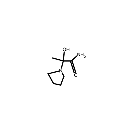 CC(O)(C(N)=O)N1CCCC1